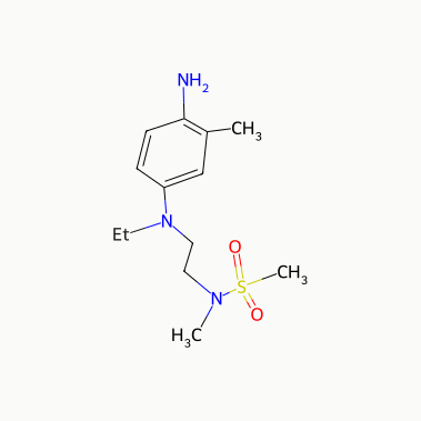 CCN(CCN(C)S(C)(=O)=O)c1ccc(N)c(C)c1